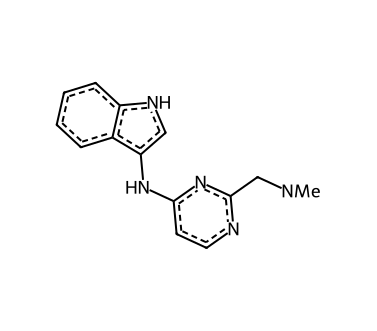 CNCc1nccc(Nc2c[nH]c3ccccc23)n1